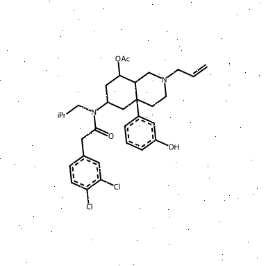 C=CCN1CCC2(c3cccc(O)c3)CC(N(CC(C)C)C(=O)Cc3ccc(Cl)c(Cl)c3)CC(OC(C)=O)C2C1